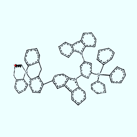 c1ccc([Si](c2ccccc2)(c2ccccc2)c2cc(-n3c4ccccc4c4ccccc43)cc(-n3c4ccccc4c4cc(-c5cccc6c5Cc5ccccc5[Si]65c6ccccc6Cc6ccccc65)ccc43)c2)cc1